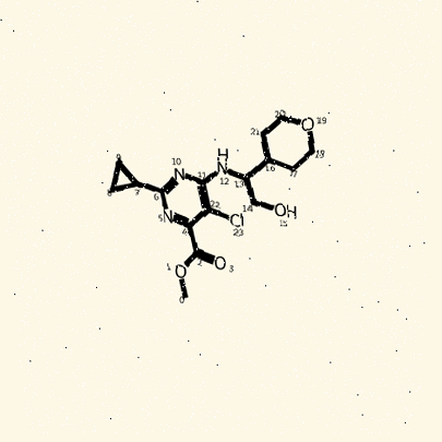 COC(=O)c1nc(C2CC2)nc(NC(CO)C2CCOCC2)c1Cl